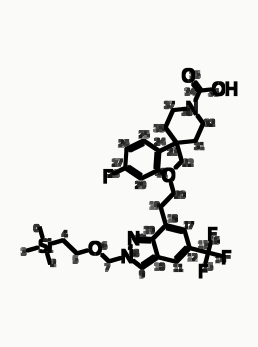 C[Si](C)(C)CCOCn1cc2cc(C(F)(F)F)cc(CCOCC3(c4ccc(F)cc4)CCN(C(=O)O)CC3)c2n1